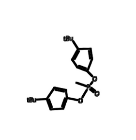 CC(C)(C)c1ccc(OP(C)(=O)Oc2ccc(C(C)(C)C)cc2)cc1